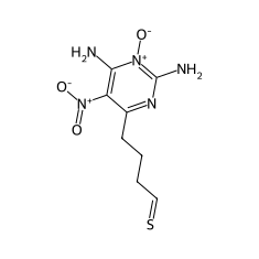 Nc1nc(CCCC=S)c([N+](=O)[O-])c(N)[n+]1[O-]